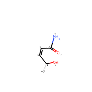 C[C@@H](O)/C=C\C(N)=O